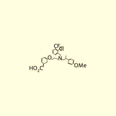 COc1ccc(C(C)CN(CCCOC2=CC=CC(=CC(=O)O)C2)Cc2cccc(C(F)(F)F)c2Cl)cc1